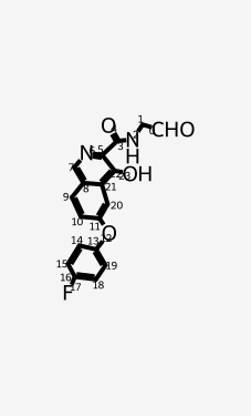 O=CCNC(=O)c1ncc2ccc(Oc3ccc(F)cc3)cc2c1O